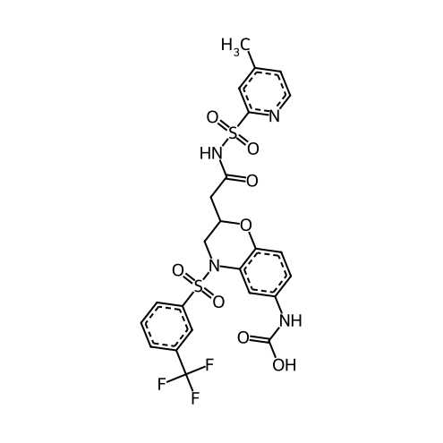 Cc1ccnc(S(=O)(=O)NC(=O)CC2CN(S(=O)(=O)c3cccc(C(F)(F)F)c3)c3cc(NC(=O)O)ccc3O2)c1